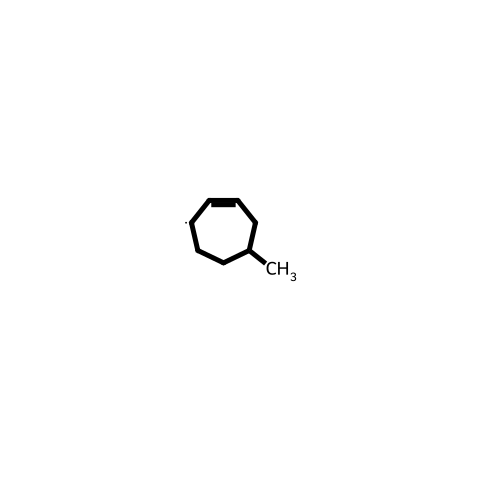 CC1CC=C[CH]CC1